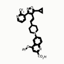 CC(C)Oc1cc(C(=O)O)nc2ccc(N3CCC(C=Cc4c(-c5cccnc5C(F)(F)F)noc4C4CC4)CC3)cc12